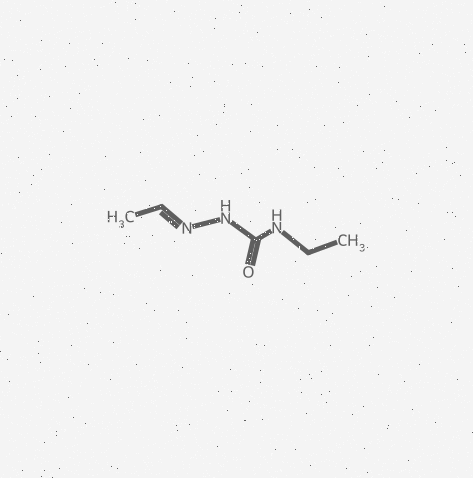 C/C=N/NC(=O)NCC